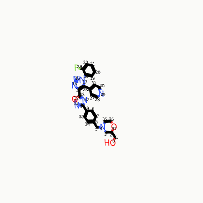 OCC1CN(Cc2ccc(-c3noc(-c4nnn(-c5ccccc5F)c4-c4ccncc4)n3)cc2)CCO1